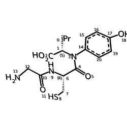 CC(C)[C@@H](C(=O)O)N(C(=O)[C@H](CS)NC(=O)CN)c1ccc(O)cc1